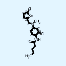 CCCCC(=O)Nc1ccc(N(C)Cc2ccc(Cl)s2)cc1Cl